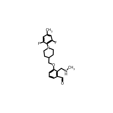 CNCc1c(C=O)cccc1OCC1CCN(c2c(F)cc(C)cc2F)CC1